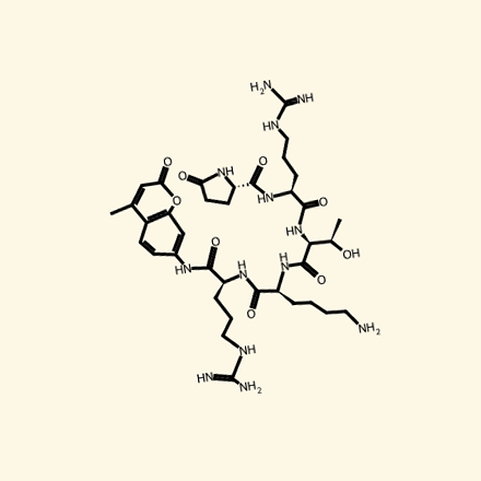 Cc1cc(=O)oc2cc(NC(=O)[C@H](CCCNC(=N)N)NC(=O)[C@H](CCCCN)NC(=O)[C@@H](NC(=O)[C@H](CCCNC(=N)N)NC(=O)[C@@H]3CCC(=O)N3)[C@@H](C)O)ccc12